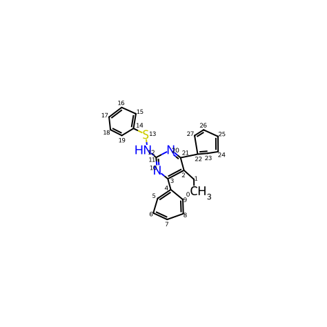 CCc1c(-c2ccccc2)nc(NSc2ccccc2)nc1-c1ccccc1